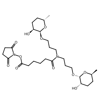 C[C@H]1CC[C@H](O)[C@H](OCCCN(CCCO[C@@H]2O[C@@H](C)CC[C@@H]2O)C(=O)CCCCC(=O)ON2C(=O)CCC2=O)O1